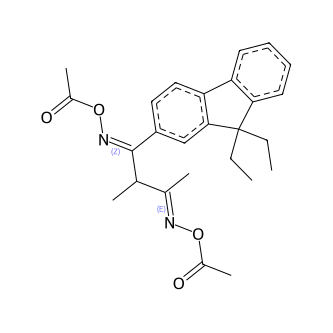 CCC1(CC)c2ccccc2-c2ccc(/C(=N\OC(C)=O)C(C)/C(C)=N/OC(C)=O)cc21